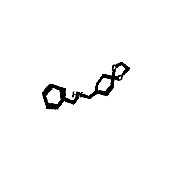 c1ccc(CNCC2CCC3(CC2)OCCO3)cc1